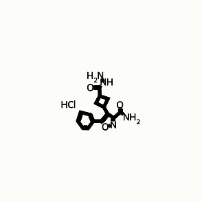 Cl.NNC(=O)C1CC(c2c(C(N)=O)noc2-c2ccccc2)C1